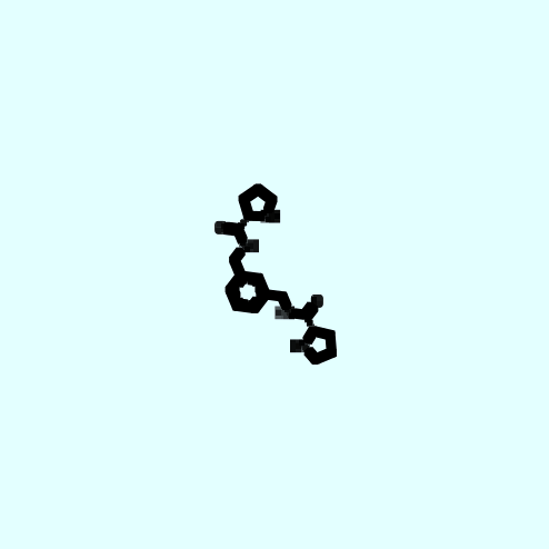 O=C(NCc1cccc(CNC(=O)[C@@H]2CCCN2)c1)[C@@H]1CCCN1